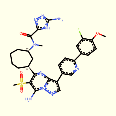 COc1ccc(-c2ccc(-c3cnn4c(N)c(S(C)(=O)=O)c([C@H]5CCCC[C@@H](N(C)C(=O)c6nnc(N)[nH]6)C5)nc34)cn2)cc1F